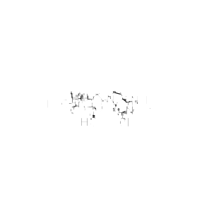 C#C[C@]1(CO[Si](C)(C)C(C)(C)C)O[C@@H](n2ccc3c(N)nc(Cl)nc32)C[C@@H]1O